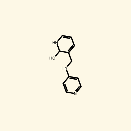 OC1NC=CC=C1CNc1ccncc1